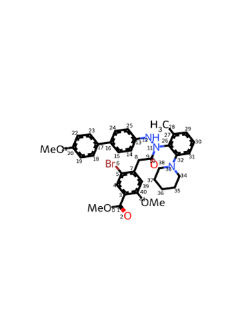 COC(=O)c1cc(Br)c(CC(=O)N(Nc2ccc(-c3ccc(OC)cc3)cc2)c2c(C)cccc2N2CCCCC2)cc1OC